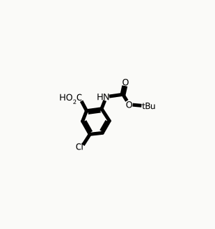 CC(C)(C)OC(=O)Nc1ccc(Cl)cc1C(=O)O